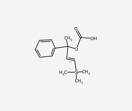 CC(/C=C/[Si](C)(C)C)(OC(=O)O)c1ccccc1